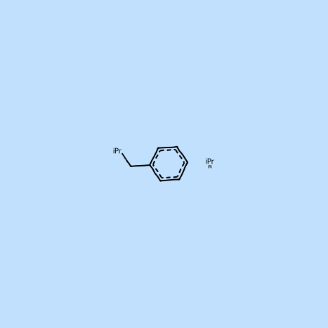 [CH2][C@H](C)c1ccc(CC(C)C)cc1